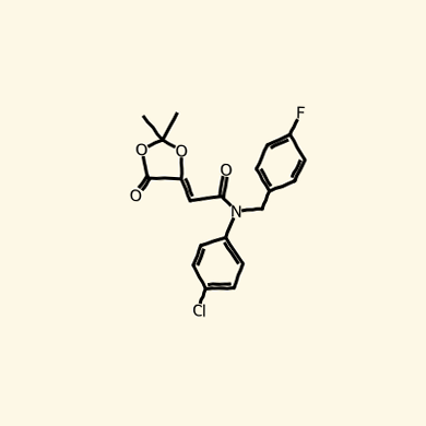 CC1(C)OC(=O)C(=CC(=O)N(Cc2ccc(F)cc2)c2ccc(Cl)cc2)O1